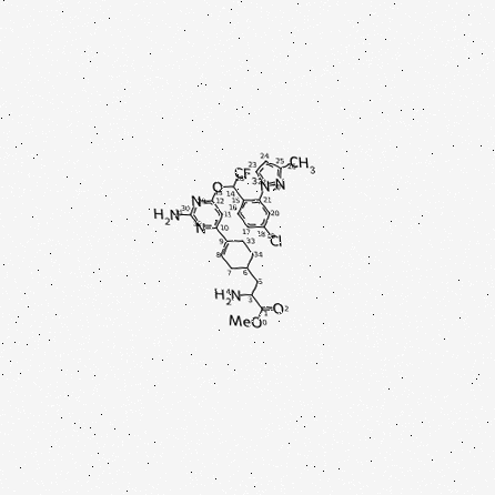 COC(=O)C(N)CC1CC=C(c2cc(OC(c3ccc(Cl)cc3-n3ccc(C)n3)C(F)(F)F)nc(N)n2)CC1